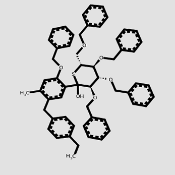 CCc1ccc(Cc2cc(C3(O)S[C@H](COCc4ccccc4)[C@@H](OCc4ccccc4)[C@H](OCc4ccccc4)[C@H]3OCc3ccccc3)c(OCc3ccccc3)cc2C)cc1